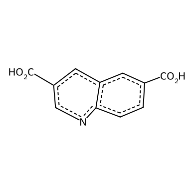 O=C(O)c1ccc2ncc(C(=O)O)cc2c1